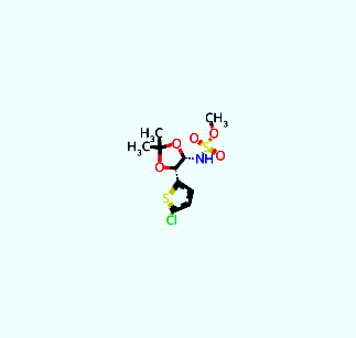 COS(=O)(=O)N[C@H]1OC(C)(C)O[C@H]1c1ccc(Cl)s1